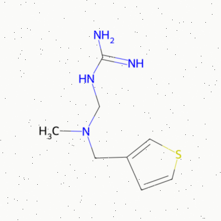 CN(CNC(=N)N)Cc1ccsc1